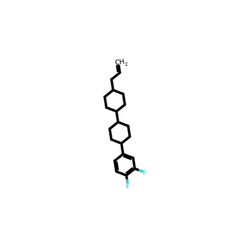 C=CCC1CCC(C2CCC(c3ccc(F)c(F)c3)CC2)CC1